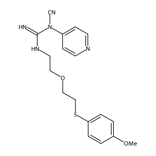 COc1ccc(SCCOCCNC(=N)N(C#N)c2ccncc2)cc1